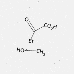 CCC(=O)C(=O)O.CO